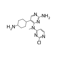 CN(c1ccnc(Cl)n1)c1nc(N)ncc1C1CCC(N)CC1